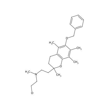 Cc1c(C)c2c(c(C)c1OCc1ccccc1)CCC(C)(CCN(C)CC[O])O2